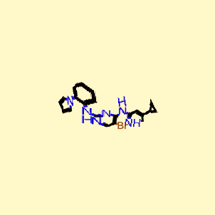 C/C(=C\C(=N)Nc1nc(Nc2ccccc2-n2cccc2)ncc1Br)C1CC1